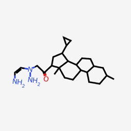 CC1CCC2C(CCC3C2CCC2(C)C(C(=O)CN(N)/C=C\N)CC(C4CC4)C32)C1